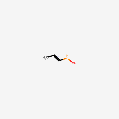 C/C=C/PO